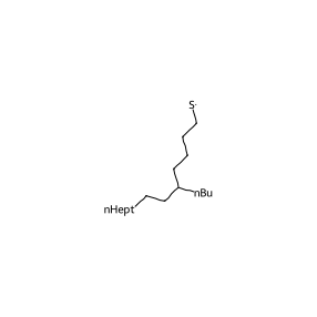 CCCCCCCCCC(CCCC)CCCC[S]